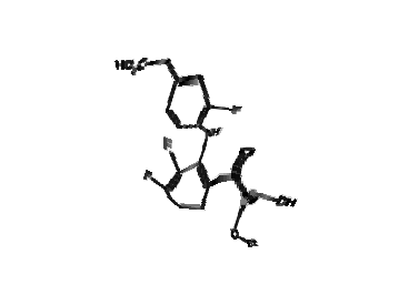 CCON(O)C(=O)c1ccc(F)c(F)c1Nc1ccc(CC(=O)O)cc1F